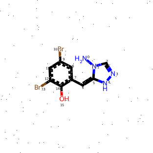 NN1C=NNC1=Cc1cc(Br)cc(Br)c1O